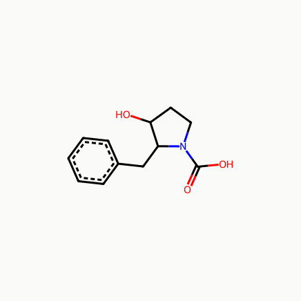 O=C(O)N1CCC(O)C1Cc1ccccc1